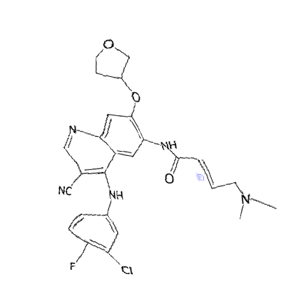 CN(C)C/C=C/C(=O)Nc1cc2c(Nc3ccc(F)c(Cl)c3)c(C#N)cnc2cc1OC1CCOC1